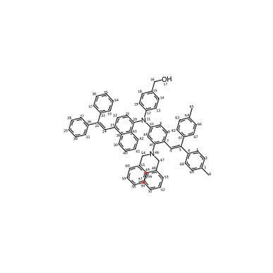 Cc1ccc(C(=Cc2ccc(N(c3ccc(CO)cc3)c3ccc(C=C(c4ccccc4)c4ccccc4)c4ccccc34)cc2N(Cc2ccccc2)Cc2ccccc2)c2ccc(C)cc2)cc1